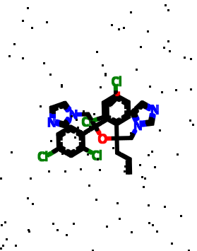 C=CCC(Cn1ccnc1)(OC(CC=C)(Cn1ccnc1)c1ccc(Cl)cc1Cl)c1ccc(Cl)cc1Cl